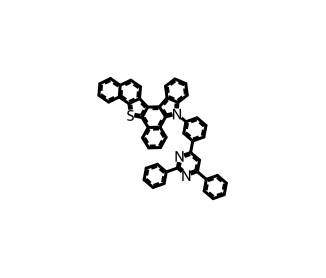 c1ccc(-c2cc(-c3cccc(-n4c5ccccc5c5c6c7ccc8ccccc8c7sc6c6ccccc6c54)c3)nc(-c3ccccc3)n2)cc1